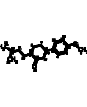 CSc1ccc([C@H]2CCN(CCN(C)C)C(=O)C2)cn1